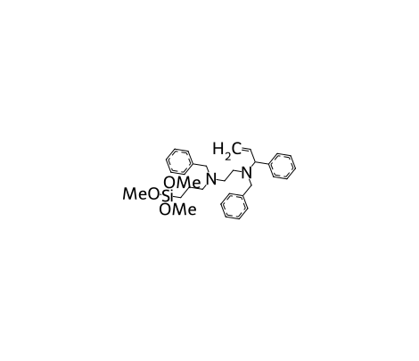 C=CC(c1ccccc1)N(CCN(CCC[Si](OC)(OC)OC)Cc1ccccc1)Cc1ccccc1